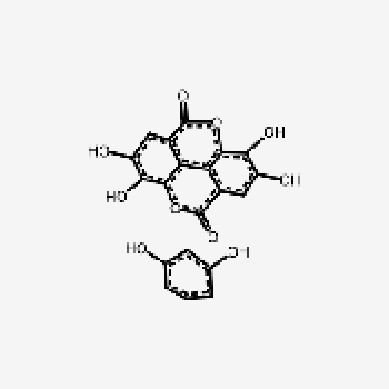 O=c1oc2c(O)c(O)cc3c(=O)oc4c(O)c(O)cc1c4c23.Oc1cccc(O)c1